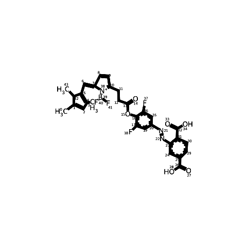 CC1=CC(C)=C(/C=C2/C=CC(CCC(=O)Oc3c(F)cc(/N=N/c4cc(C(=O)O)ccc4C(=O)O)cc3F)=[N+]2B(F)F)C1C